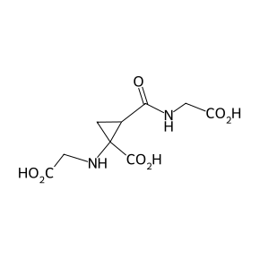 O=C(O)CNC(=O)C1CC1(NCC(=O)O)C(=O)O